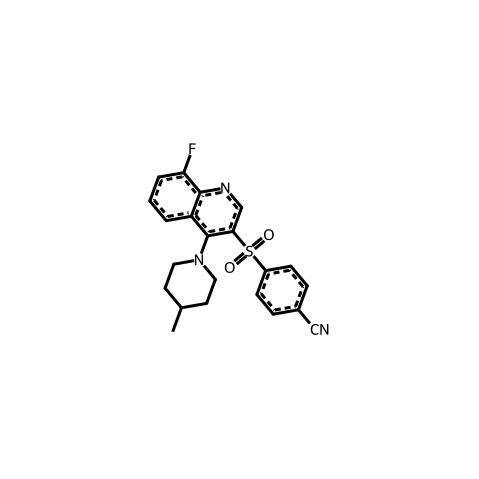 CC1CCN(c2c(S(=O)(=O)c3ccc(C#N)cc3)cnc3c(F)cccc23)CC1